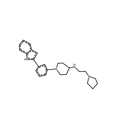 c1cc(-c2cc3ccccc3[nH]2)cc(N2CCC(NCCN3CCCC3)CC2)c1